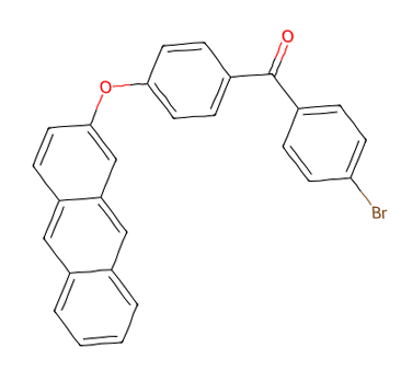 O=C(c1ccc(Br)cc1)c1ccc(Oc2ccc3cc4ccccc4cc3c2)cc1